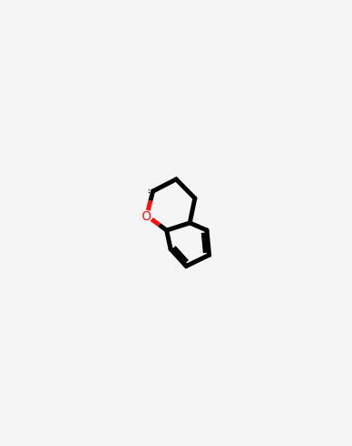 [C]1CCC2C=CC=CC2O1